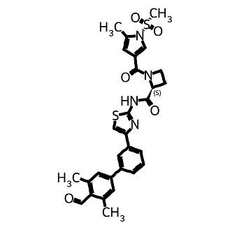 Cc1cc(-c2cccc(-c3csc(NC(=O)[C@@H]4CCN4C(=O)c4cc(C)n(S(C)(=O)=O)c4)n3)c2)cc(C)c1C=O